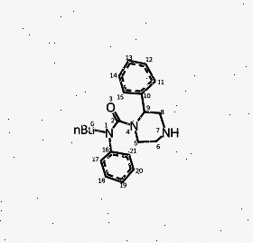 CCCCN(C(=O)N1CCNCC1c1ccccc1)c1ccccc1